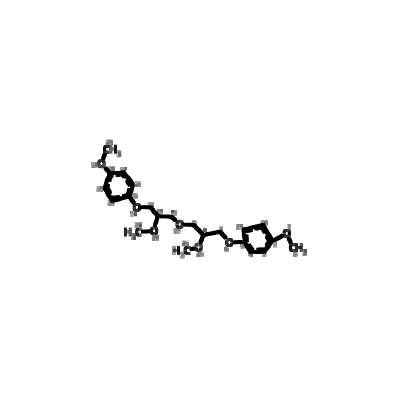 COc1ccc(OCC(COCC(COc2ccc(OC)cc2)OC)OC)cc1